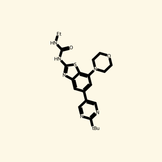 CCNC(=O)Nc1nc2cc(-c3cnc(C(C)(C)C)nc3)cc(N3CCOCC3)c2s1